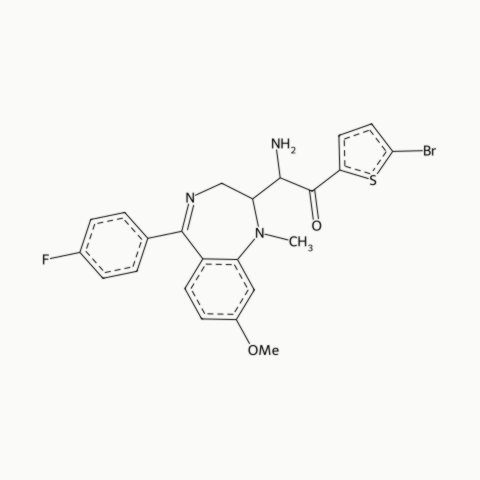 COc1ccc2c(c1)N(C)C(C(N)C(=O)c1ccc(Br)s1)CN=C2c1ccc(F)cc1